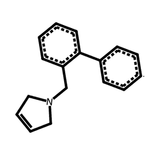 [c]1ccc(-c2ccccc2CN2CC=CC2)cc1